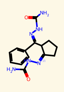 NC(=O)NN=C(c1ccccc1)C1CCC/C1=N/NC(N)=O